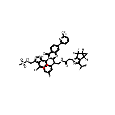 CS(=O)(=O)NCc1n[nH]c2c(-n3c(C(CNC(=O)Cn4nc(C(F)F)c5c4C(F)(F)[C@@H]4C[C@H]54)c4cc(F)cc(F)c4)nc4cc(-c5cccc(C(F)(F)F)n5)ccc4c3=O)ccc(Cl)c12